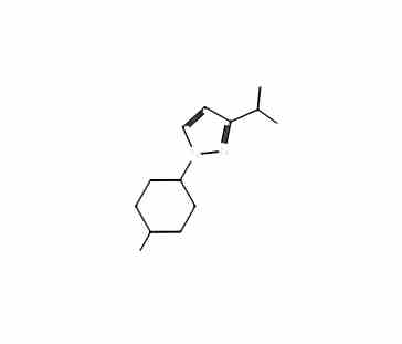 CC1CCC(n2ccc(C(F)F)n2)CC1